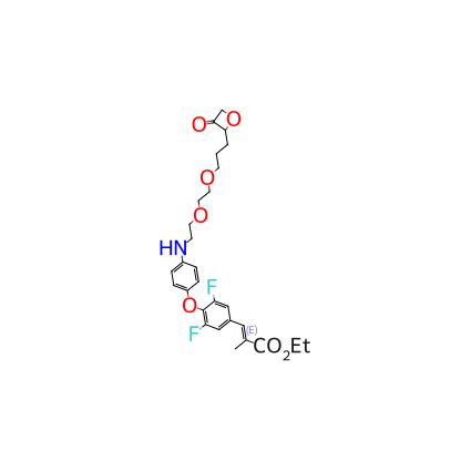 CCOC(=O)/C(C)=C/c1cc(F)c(Oc2ccc(NCCOCCOCCCC3OCC3=O)cc2)c(F)c1